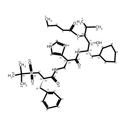 CCCCC(=O)O[C@@H](C(C)C)[C@H](O)[C@H](CC1CCCCC1)NC(=O)[C@@H](CNC(=O)[C@H](Cc1ccccc1)CS(=O)(=O)C(C)(C)C)c1c[nH]cn1